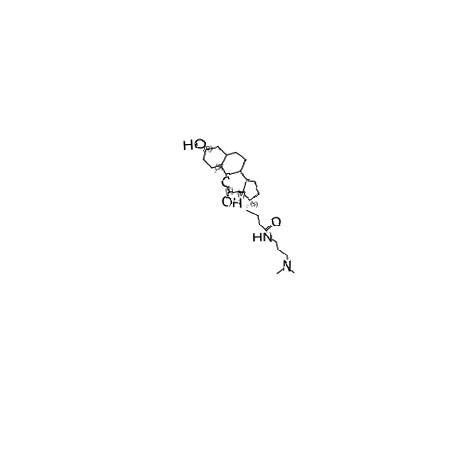 CN(C)CCCNC(=O)CCC[C@H]1CCC2C3CCC4C[C@H](O)CC[C@]4(C)C3C[C@H](O)[C@@]21C